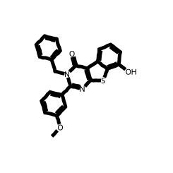 COc1cccc(-c2nc3sc4c(O)cccc4c3c(=O)n2Cc2ccccc2)c1